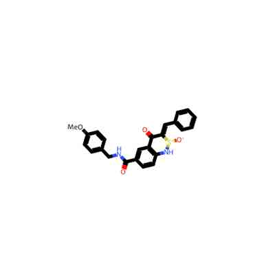 COc1ccc(CNC(=O)c2ccc3c(c2)C(=O)/C(=C/c2ccccc2)[S+]([O-])N3)cc1